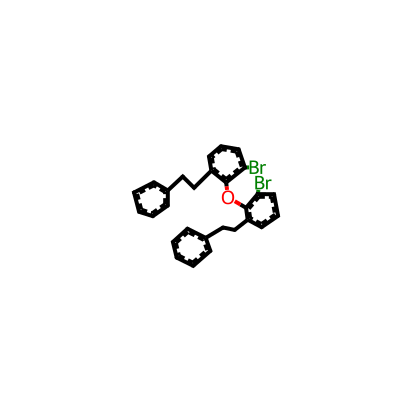 Brc1cccc(CCc2ccccc2)c1Oc1c(Br)cccc1CCc1ccccc1